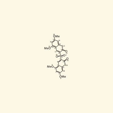 COc1cc(OC)c2cc(S(=O)(=O)c3cc4c(OC)cc(OC)cc4sc3=O)c(=O)sc2c1